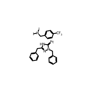 FC(F)(F)c1ccc(CN(I)I)cc1.[Pt]=[c]1[nH]c(Cc2ccccc2)nn1Cc1ccccc1